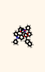 c1ccc(-c2ccccc2N(c2ccc(-c3ccc4ccccc4c3)cc2)c2cccc(-c3cccc4c3c3c(-c5ccccc5)cccc3n4-c3ccccc3)c2)cc1